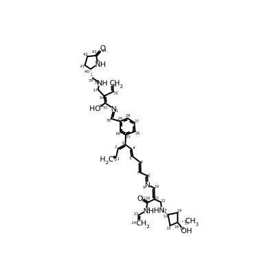 C=C\C=C(/C=C/C=C/C=N/C=C(/CN[C@H]1C[C@](C)(O)C1)C(=O)NC=C)c1cccc(/C=N/C(O)=C(\C=C)CNC[C@@H]2CCC(=O)N2)c1